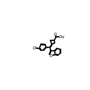 O=C(O)C1CC(=C(c2ccc(Cl)cc2)c2coc3ccccc23)C1